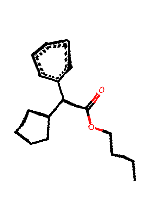 CCCCOC(=O)C(c1ccccc1)C1CCCC1